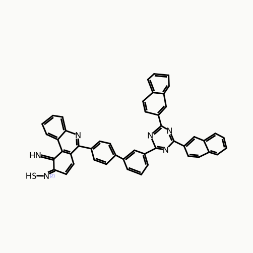 N=C1/C(=N\S)C=Cc2c(-c3ccc(-c4cccc(-c5nc(-c6ccc7ccccc7c6)nc(-c6ccc7ccccc7c6)n5)c4)cc3)nc3ccccc3c21